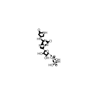 O=C1C[C@H](Nc2nc(Cl)nn3c([C@@H]4O[C@H](COP(=O)(O)CP(=O)(O)O)[C@@H](O)[C@H]4O)cnc23)CN1